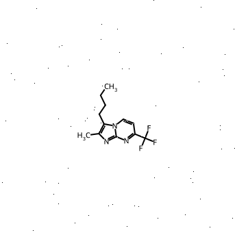 CCCCc1c(C)nc2nc(C(F)(F)F)ccn12